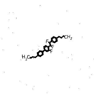 C=CCCc1ccc(/C(F)=C(\F)c2ccc(-c3ccc(CCC=C)cc3)cc2F)cc1